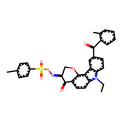 CCn1c2ccc(C(=O)c3ccccc3C)cc2c2c3c(ccc21)C(=O)/C(=N/OS(=O)(=O)c1ccc(C)cc1)CO3